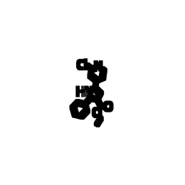 CCOC(=O)c1cc(-c2ccnc(Cl)c2)[nH]c1-c1ccccc1